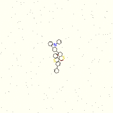 C1=CC(C2C=CC3=C(C2)SC2=C(C=CCC2)C32C3=CCCC=C3SC3CCC(C4CCC5C6=C(C=CCC6)N(C6CC=CCC6)C5C4)=CC32)CCC1